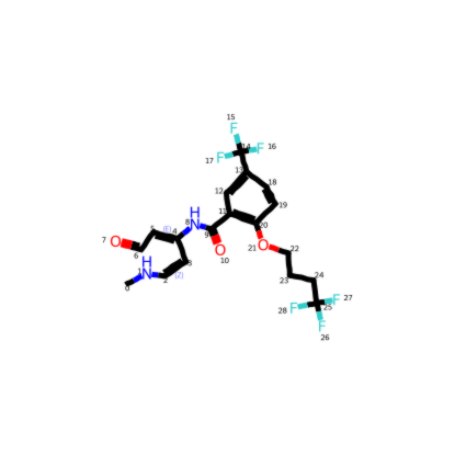 CN/C=C\C(=C/C=O)NC(=O)c1cc(C(F)(F)F)ccc1OCCCC(F)(F)F